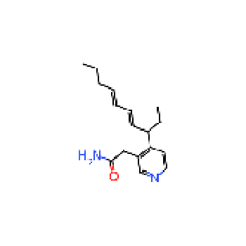 CCCC=CC=CC(CC)c1ccncc1CC(N)=O